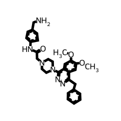 COc1cc2c(Cc3ccccc3)nnc(N3CCN(CC(=O)Nc4ccc(CN)cc4)CC3)c2cc1OC